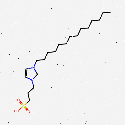 CCCCCCCCCCCCCCN1C=CN(CCCS(=O)(=O)O)C1